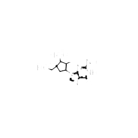 Nc1nc2c(ncn2C2CC(O)(CO)C(O)C2F)c(=O)[nH]1